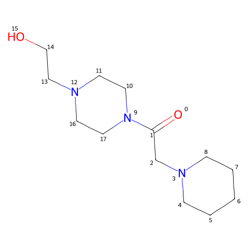 O=C(CN1CCCCC1)N1CCN(CCO)CC1